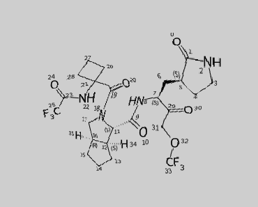 O=C1NCC[C@H]1C[C@H](NC(=O)[C@@H]1[C@H]2CCC[C@H]2CN1C(=O)C1(NC(=O)C(F)(F)F)CCC1)C(=O)COC(F)(F)F